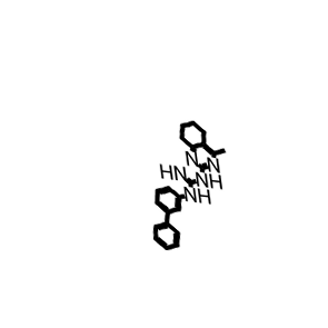 Cc1nc(NC(=N)Nc2cccc(-c3ccccc3)c2)nc2c1CCCC2